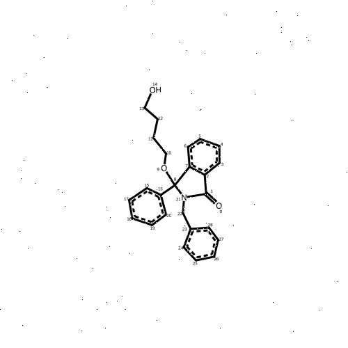 O=C1c2ccccc2C(OCCCCO)(c2ccccc2)N1Cc1ccccc1